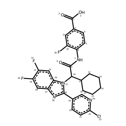 O=C(O)c1ccc(NC(=O)C(C2CCCCC2)n2c(-c3ccc(Cl)nc3)nc3cc(F)c(F)cc32)c(F)c1